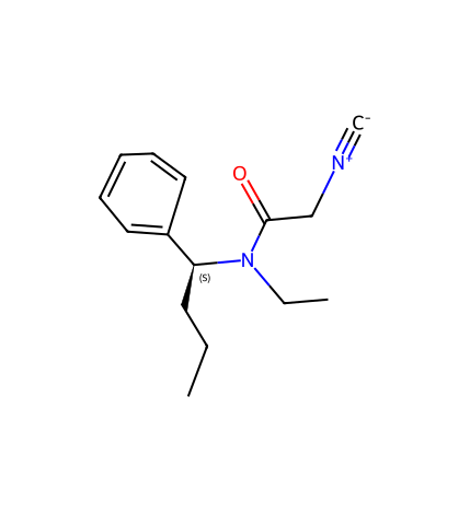 [C-]#[N+]CC(=O)N(CC)[C@@H](CCC)c1ccccc1